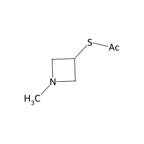 CC(=O)SC1CN(C)C1